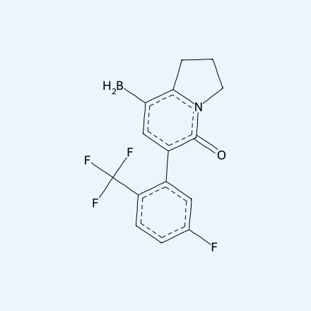 Bc1cc(-c2cc(F)ccc2C(F)(F)F)c(=O)n2c1CCC2